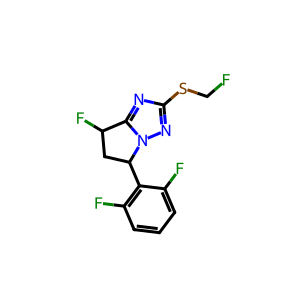 FCSc1nc2n(n1)C(c1c(F)cccc1F)CC2F